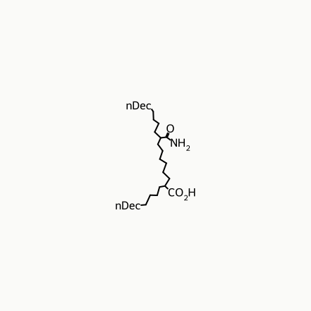 CCCCCCCCCCCCCCC(CCCCCCC(CCCCCCCCCCCCCC)C(=O)O)C(N)=O